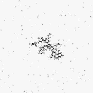 CSCC[C@H](NC(=O)[C@H](Cc1c[nH]c2ccccc12)NC(=O)[C@H](CCCCN)NC(=O)[C@@H](C)CCCNC(=N)N)C(=O)N[C@@H](Cc1ccccc1)C(=O)N[C@@H](C)C(N)=O